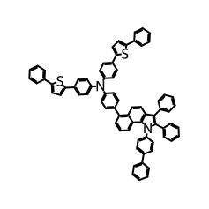 c1ccc(-c2ccc(-n3c(-c4ccccc4)c(-c4ccccc4)c4ccc5c(-c6ccc(N(c7ccc(-c8ccc(-c9ccccc9)s8)cc7)c7ccc(-c8ccc(-c9ccccc9)s8)cc7)cc6)cccc5c43)cc2)cc1